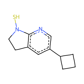 SN1CCc2cc(C3CCC3)cnc21